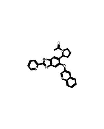 CC(=O)N1CCCC1c1cc2[nH]c(-c3ccccn3)nc2cc1Oc1cnc2ccccc2c1